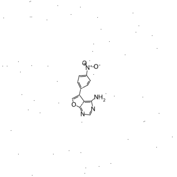 Nc1ncnc2occ(-c3ccc([N+](=O)[O-])cc3)c12